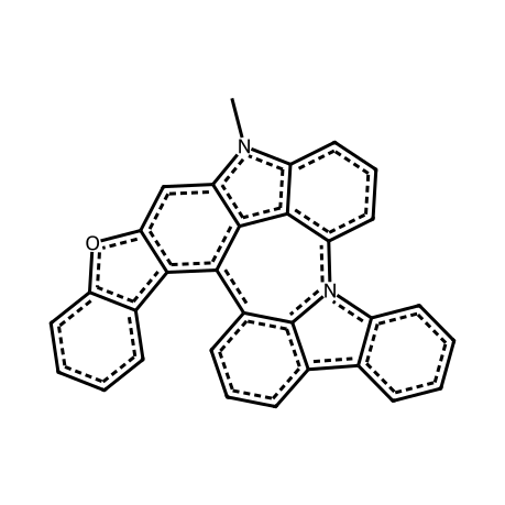 Cn1c2cc3oc4ccccc4c3c3c4cccc5c6ccccc6n(c6cccc1c6c32)c54